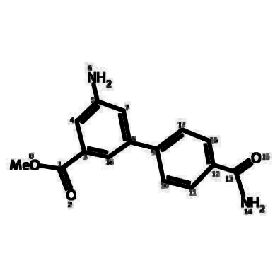 COC(=O)c1cc(N)cc(-c2ccc(C(N)=O)cc2)c1